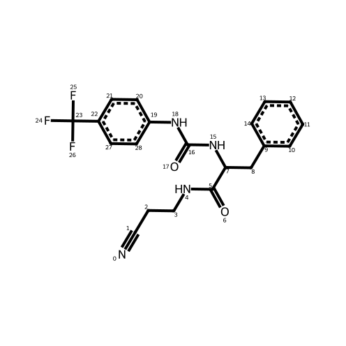 N#CCCNC(=O)C(Cc1ccccc1)NC(=O)Nc1ccc(C(F)(F)F)cc1